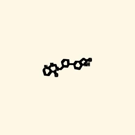 O=C1Cc2cc(-c3cccc(Cn4cnc5ncccc5c4=O)c3)ccc2N1